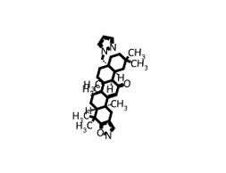 CC1(C)CC[C@]2(Cn3cccn3)CC[C@]3(C)[C@H](C(=O)C=C4[C@@]5(C)Cc6cnoc6C(C)(C)[C@@H]5CC[C@]43C)[C@@H]2C1